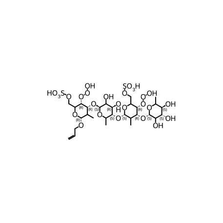 C=CCO[C@@H]1OC(COS(=O)(=O)O)[C@H](OOO)[C@H](O[C@@H]2OC(C)[C@@H](O[C@@H]3OC(COS(=O)(=O)O)[C@H](OOO)[C@H](O[C@@H]4OC(C)[C@@H](O)[C@H](O)C4O)C3C)[C@H](O)C2O)C1C